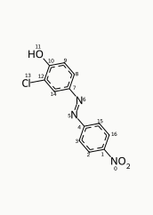 O=[N+]([O-])c1ccc(N=Nc2ccc(O)c(Cl)c2)cc1